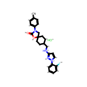 Cl.N#Cc1ccc(N2CC3(CCC(CNc4ccn(-c5ccccc5F)n4)CC3)OC2=O)cc1